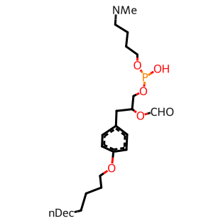 CCCCCCCCCCCCCCOc1ccc(CC(COP(O)OCCCCNC)OC=O)cc1